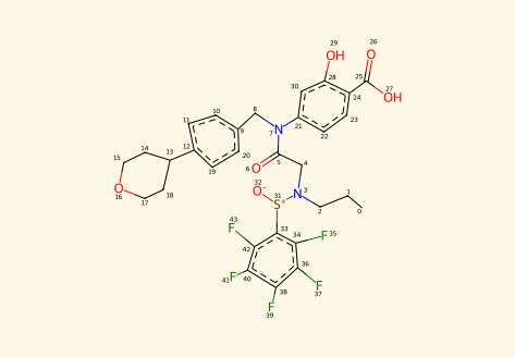 CCCN(CC(=O)N(Cc1ccc(C2CCOCC2)cc1)c1ccc(C(=O)O)c(O)c1)[S+]([O-])c1c(F)c(F)c(F)c(F)c1F